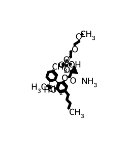 C=C(C)[C@@H]1CCC(C)=C[C@H]1c1c(O)cc(CCCCC)cc1OC(=O)C1(OP(=O)(O)OCCOCCOC)CC1.N